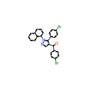 O=C(c1ccc(Br)cc1)c1cnn(-c2cccc3ccccc23)c1-c1ccc(Br)cc1